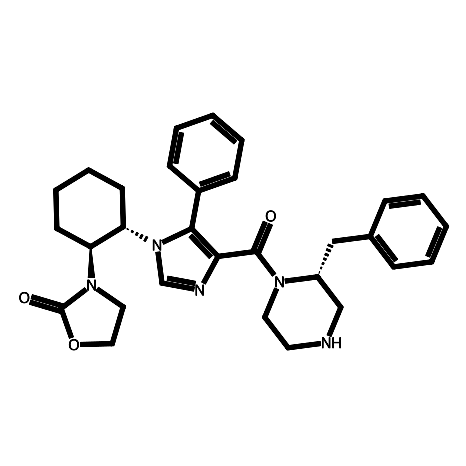 O=C(c1ncn([C@H]2CCCC[C@@H]2N2CCOC2=O)c1-c1ccccc1)N1CCNC[C@H]1Cc1ccccc1